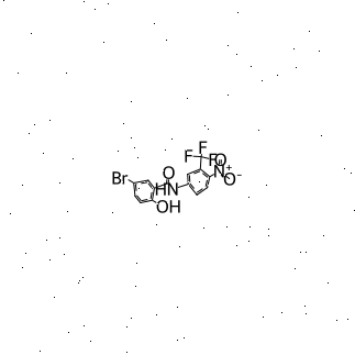 O=C(Nc1ccc([N+](=O)[O-])c(C(F)(F)F)c1)c1cc(Br)ccc1O